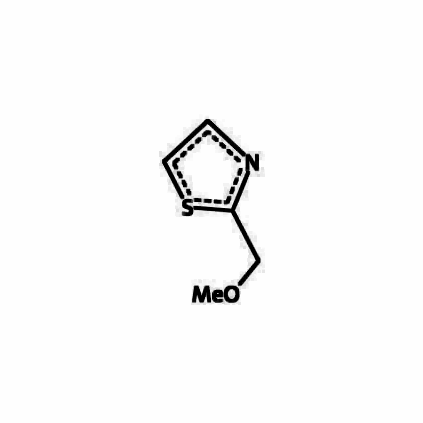 COCc1nccs1